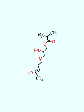 C=C(C)C(=O)OCC(O)COCCC[SiH](C)O